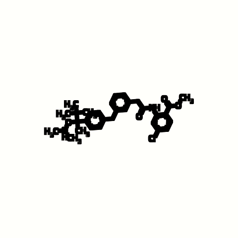 COC(=O)c1ccc(Cl)cc1NC(=O)Cc1cccc(Cc2ccc(C(C)(O[SiH](C)C)C(C)(C)C)cc2)c1